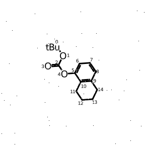 CC(C)(C)OC(=O)Oc1cccc2c1CCCC2